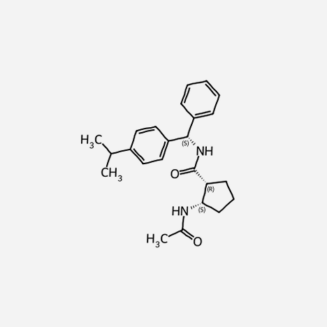 CC(=O)N[C@H]1CCC[C@H]1C(=O)N[C@@H](c1ccccc1)c1ccc(C(C)C)cc1